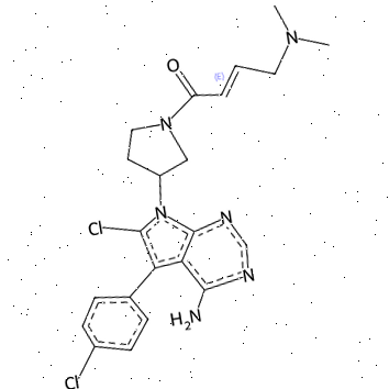 CN(C)C/C=C/C(=O)N1CCC(n2c(Cl)c(-c3ccc(Cl)cc3)c3c(N)ncnc32)C1